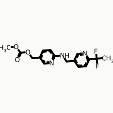 COC(=O)OCc1ccc(NCc2ccc(C(C)(F)F)nc2)nc1